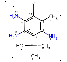 Cc1c(N)c(C(C)(C)C)c(N)c(N)c1I